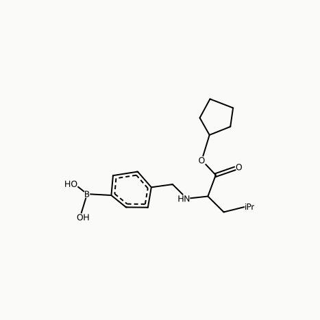 CC(C)CC(NCc1ccc(B(O)O)cc1)C(=O)OC1CCCC1